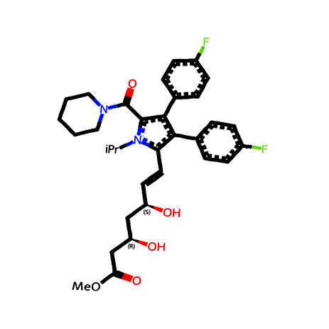 COC(=O)C[C@H](O)C[C@H](O)C=Cc1c(-c2ccc(F)cc2)c(-c2ccc(F)cc2)c(C(=O)N2CCCCC2)n1C(C)C